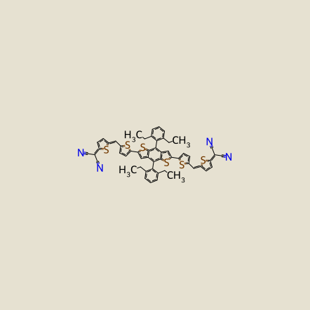 CCc1cccc(CC)c1-c1c2cc(-c3ccc(/C=c4/ccc(=C(C#N)C#N)s4)s3)sc2c(-c2c(CC)cccc2CC)c2cc(-c3ccc(/C=c4/ccc(=C(C#N)C#N)s4)s3)sc12